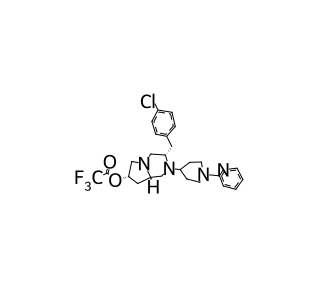 O=C(O[C@H]1C[C@H]2CN(C3CCN(c4ccccn4)CC3)[C@@H](Cc3ccc(Cl)cc3)CN2C1)C(F)(F)F